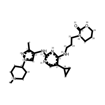 Cc1nn(C2CCN(C)CC2)cc1Nc1ncc(C2CC2)c(NCCCN2CCCOC2=O)n1